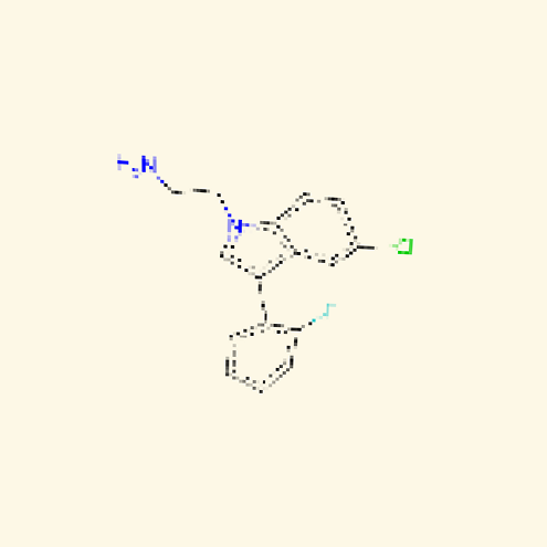 NCCn1cc(-c2ccccc2F)c2cc(Cl)ccc21